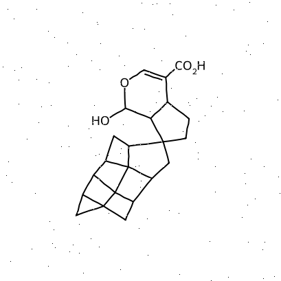 O=C(O)C1=COC(O)C2C1CCC21CC2C3CC45CC4C4C6CC1C26C345